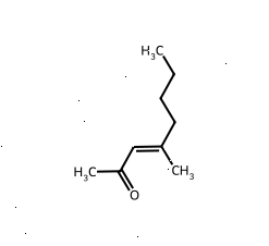 CCCCC(C)=CC(C)=O